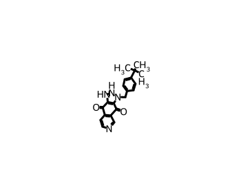 CC(C)(C)c1ccc(Cn2[nH][nH]c3c(=O)c4ccncc4c(=O)c2=3)cc1